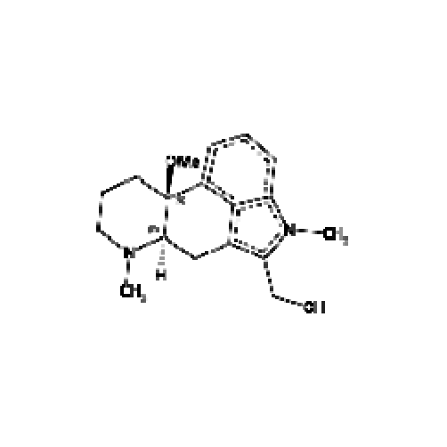 CO[C@]12CCCN(C)[C@@H]1Cc1c(CO)n(C)c3cccc2c13